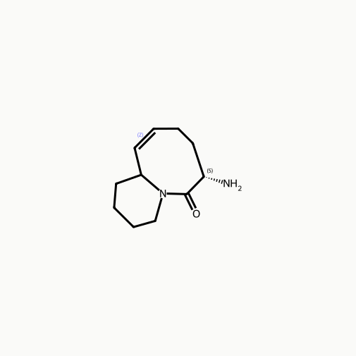 N[C@H]1CC/C=C\C2CCCCN2C1=O